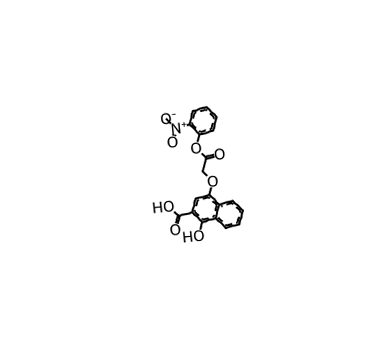 O=C(COc1cc(C(=O)O)c(O)c2ccccc12)Oc1ccccc1[N+](=O)[O-]